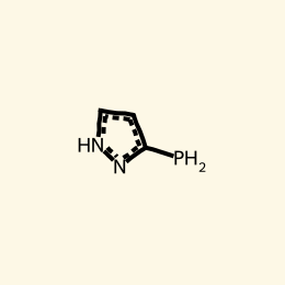 Pc1cc[nH]n1